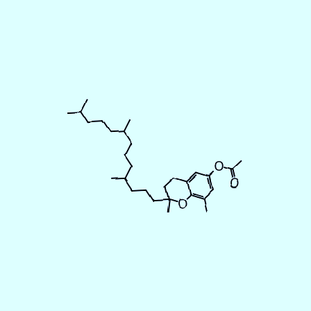 CC(=O)Oc1cc(C)c2c(c1)CCC(C)(CCCC(C)CCCC(C)CCCC(C)C)O2